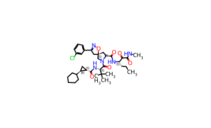 CCC[C@H](NC(=O)[C@@H]1C[C@]2(CC(c3cccc(Cl)c3)=NO2)CN1C(=O)[C@@H](NC(=O)[C@H]1C[C@@H]1C1CCCCC1)C(C)(C)C)C(=O)C(=O)NC